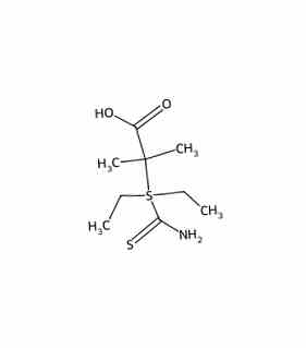 CCS(CC)(C(N)=S)C(C)(C)C(=O)O